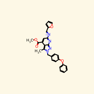 COC(=O)c1cc(/N=C/c2ccco2)nc2nn(Cc3ccc(Oc4ccccc4)cc3)c(C)c12